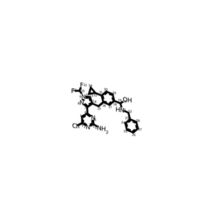 Nc1nc(Cl)cc(-c2nn(C(F)F)cc2Cc2cc(C(O)NCc3ccccc3)ccc2C2CC2)n1